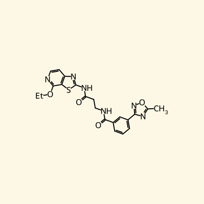 CCOc1nccc2nc(NC(=O)CCNC(=O)c3cccc(-c4noc(C)n4)c3)sc12